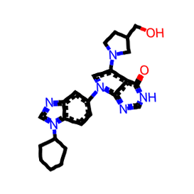 O=c1[nH]cnc2c1c(N1CCC(CO)C1)cn2-c1ccc2c(c1)ncn2C1CCCCC1